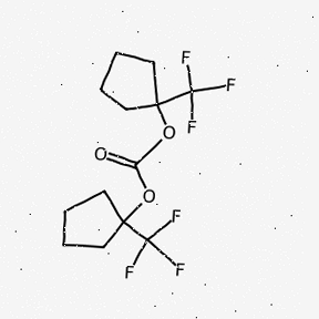 O=C(OC1(C(F)(F)F)CCCC1)OC1(C(F)(F)F)CCCC1